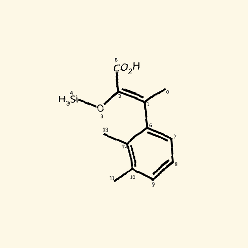 CC(=C(O[SiH3])C(=O)O)c1cccc(C)c1C